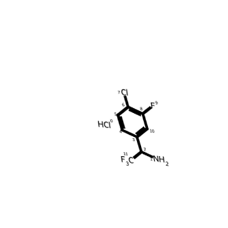 Cl.NC(c1ccc(Cl)c(F)c1)C(F)(F)F